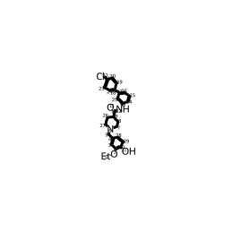 CCOc1cc(CN2CCC(C(=O)Nc3cccc(-c4ccc(Cl)cc4)c3)CC2)ccc1O